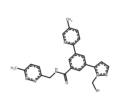 Cc1ccc(-c2cc(C(=O)NCc3ccc(C)nn3)cc(-c3ccnn3CC(C)C)c2)nc1